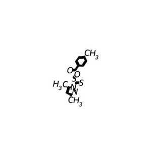 Cc1ccc(C(=O)OSC(=S)n2nc(C)cc2C)cc1